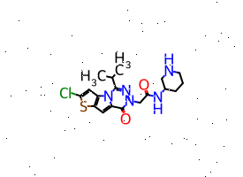 CC(C)c1nn(CC(=O)N[C@@H]2CCCNC2)c(=O)c2cc3sc(Cl)cc3n12